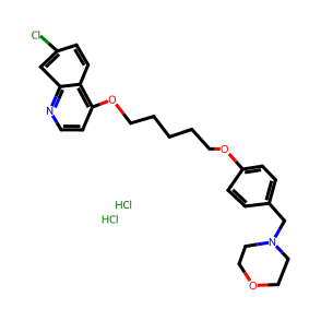 Cl.Cl.Clc1ccc2c(OCCCCCOc3ccc(CN4CCOCC4)cc3)ccnc2c1